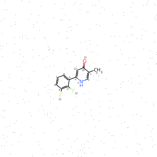 Cc1c[nH]c(-c2cccc(F)c2F)cc1=O